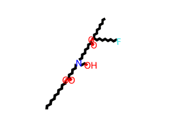 CCCCCCCCCCCOC(=O)CCCCCN(CCO)CCCCCCCC(=O)OC(CCCCCCCC)CCCCCCCCF